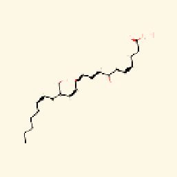 CCCCC/C=C\CC(\C=C/C=C\C=C\C(O)C/C=C\CCC(=O)O)CO